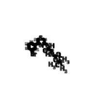 CC(C)(C)OC(=O)NCC(=O)NC1=NC(c2cccc(Br)c2)=CSC1